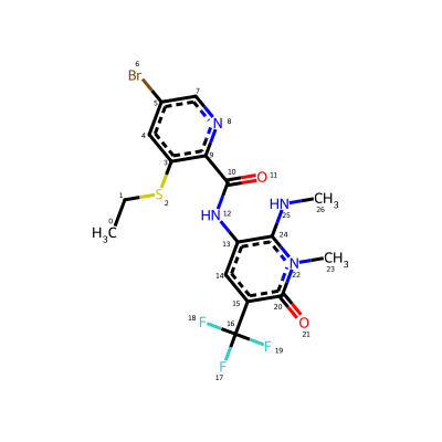 CCSc1cc(Br)cnc1C(=O)Nc1cc(C(F)(F)F)c(=O)n(C)c1NC